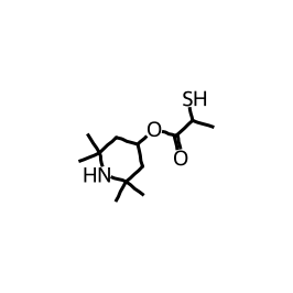 CC(S)C(=O)OC1CC(C)(C)NC(C)(C)C1